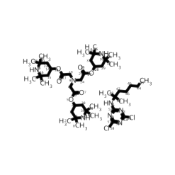 CC1(C)CC(OC(=O)CN(CC(=O)OC2CC(C)(C)NC(C)(C)C2)CC(=O)OC2CC(C)(C)NC(C)(C)C2)CC(C)(C)N1.CCCCCC(C)(C)Nc1nc(Cl)nc(Cl)n1